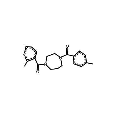 Cc1ccc(C(=O)N2CCCN(C(=O)c3cccnc3C)CC2)cc1